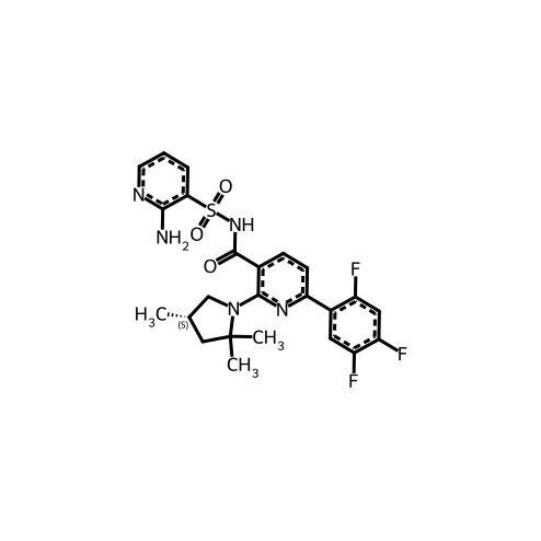 C[C@@H]1CN(c2nc(-c3cc(F)c(F)cc3F)ccc2C(=O)NS(=O)(=O)c2cccnc2N)C(C)(C)C1